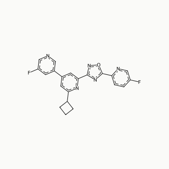 Fc1ccc(-c2nc(-c3cc(-c4cncc(F)c4)cc(C4CCC4)n3)no2)nc1